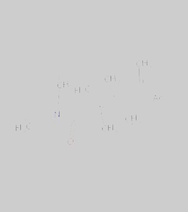 CC(=O)C(C)C(C)(C)C(C)(C)C(=O)N(C)C